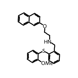 COc1ccccc1Sc1ccccc1CNCCOc1ccc2ccccc2c1